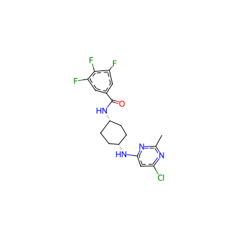 Cc1nc(Cl)cc(N[C@H]2CC[C@@H](NC(=O)c3cc(F)c(F)c(F)c3)CC2)n1